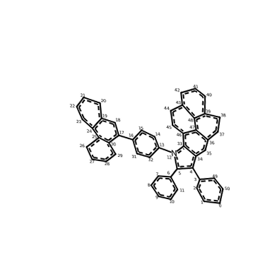 c1ccc(-c2c(-c3ccccc3)n(-c3ccc(-c4cc5ccccc5c5ccccc45)cc3)c3c2cc2ccc4cccc5ccc3c2c45)cc1